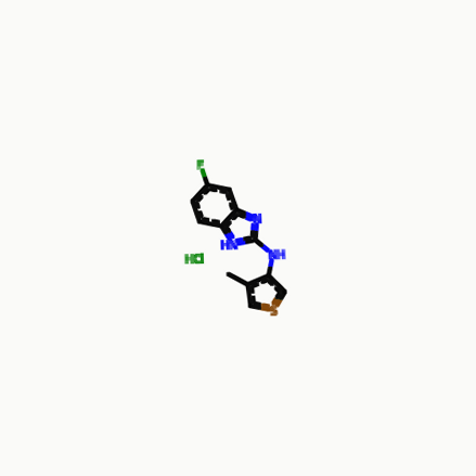 Cc1cscc1Nc1nc2cc(F)ccc2[nH]1.Cl